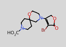 O=C1OCC(N2CCOC3(CCN(C(=O)O)CC3)C2)=C1Br